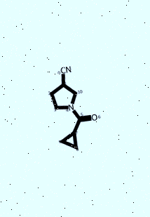 N#CC1CCN(C(=O)C2CC2)C1